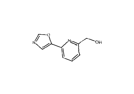 OCc1cccc(-c2cnco2)n1